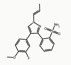 CC=Cn1cc(-c2ccc(OC)c(F)c2)c(-c2ccccc2S(N)(=O)=O)n1